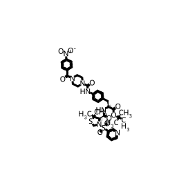 CC(C)(C)OC(=O)[C@H](Cc1ccc(NC(=O)N2CCN(C(=O)c3ccc([N+](=O)[O-])cc3)CC2)cc1)NC(=O)[C@H]1N(S(=O)(=O)c2cccnc2)CSC1(C)C